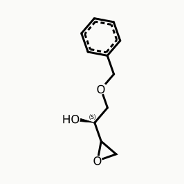 O[C@@H](COCc1ccccc1)C1CO1